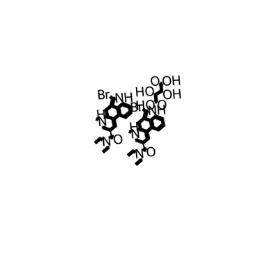 CCN(CC)C(=O)[C@@H]1C=C2c3cccc4[nH]c(Br)c(c34)C[C@H]2N(C)C1.CCN(CC)C(=O)[C@@H]1C=C2c3cccc4[nH]c(Br)c(c34)C[C@H]2N(C)C1.O=C(O)[C@@H](O)[C@H](O)C(=O)O